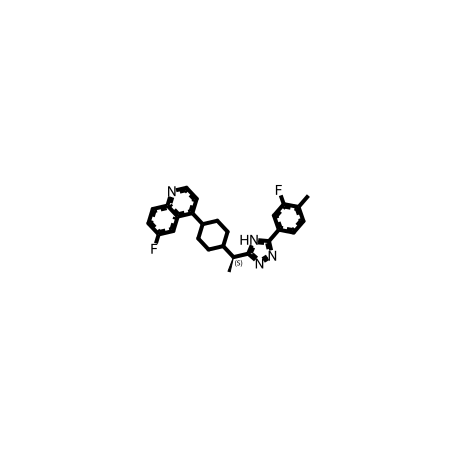 Cc1ccc(-c2nnc([C@@H](C)C3CCC(c4ccnc5ccc(F)cc45)CC3)[nH]2)cc1F